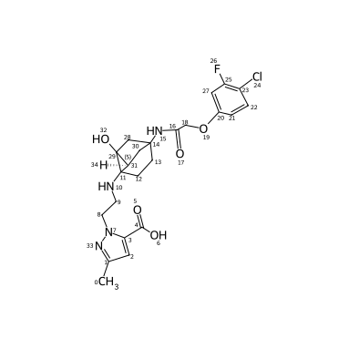 Cc1cc(C(=O)O)n(CCNC23CCC(NC(=O)COc4ccc(Cl)c(F)c4)(CC2)C[C@@H]3O)n1